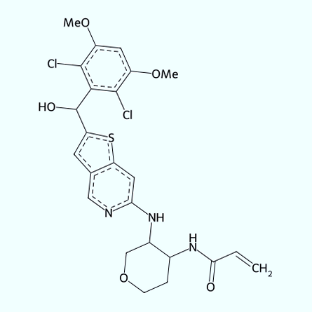 C=CC(=O)NC1CCOCC1Nc1cc2sc(C(O)c3c(Cl)c(OC)cc(OC)c3Cl)cc2cn1